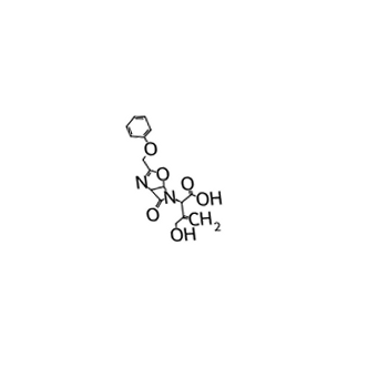 C=C(CO)[C@H](C(=O)O)N1C(=O)C2N=C(COc3ccccc3)OC21